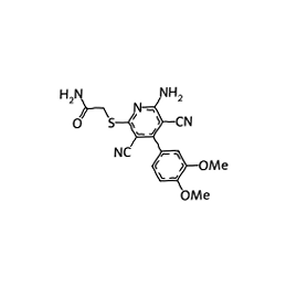 COc1ccc(-c2c(C#N)c(N)nc(SCC(N)=O)c2C#N)cc1OC